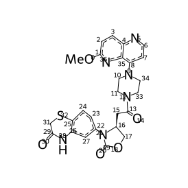 COc1ccc2nccc(N3CCN(C(=O)C[C@H]4COC(=O)N4c4ccc5c(c4)NC(=O)CS5)CC3)c2n1